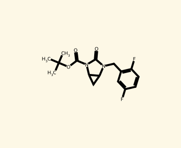 CC(C)(C)OC(=O)N1C(=O)N(Cc2cc(F)ccc2F)C2CC21